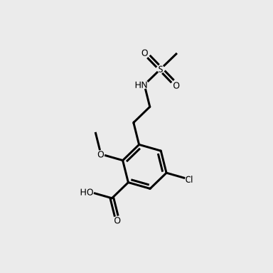 COc1c(CCNS(C)(=O)=O)cc(Cl)cc1C(=O)O